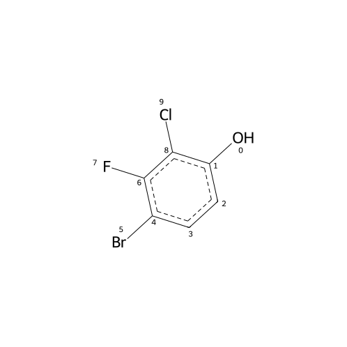 Oc1ccc(Br)c(F)c1Cl